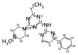 CCc1nc(Nc2nccc(-c3ccccc3)n2)nc(N2CCN(C)CC2)n1